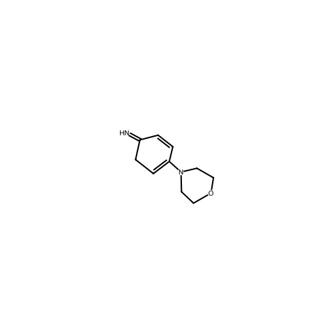 N=C1C=CC(N2CCOCC2)=CC1